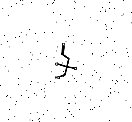 O=CCC(Cl)(Cl)CO